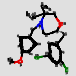 COc1ccc(CN2C[C@@H](Cc3cc(Cl)cc(Cl)c3)OCC2(C)C)cc1